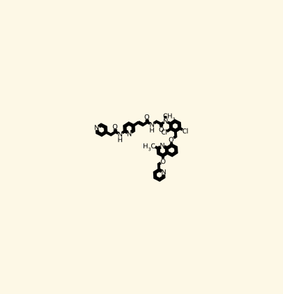 Cc1cc(OCc2ccccn2)c2cccc(OCc3c(Cl)ccc(N(C)C(=O)CNC(=O)C=Cc4ccc(NC(=O)Cc5ccncc5)nc4)c3Cl)c2n1